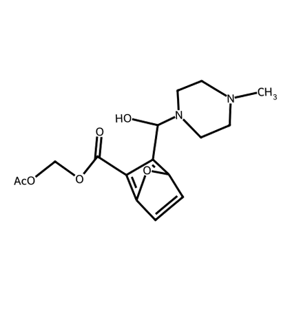 CC(=O)OCOC(=O)c1c(C(O)N2CCN(C)CC2)c2ccc1o2